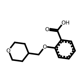 O=C(O)c1ccccc1OCC1CCOCC1